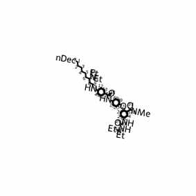 CCCCCCCCCCCCCCCCC(CCNc1ccc(C(=O)Nc2ccc(Oc3ccc(NC(=O)NC(CC)CC)cc3C(=O)NC)cc2)cc1)N(CC)CC